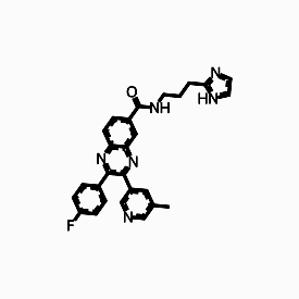 Cc1cncc(-c2nc3cc(C(=O)NCCCc4ncc[nH]4)ccc3nc2-c2ccc(F)cc2)c1